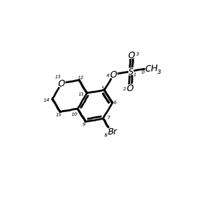 CS(=O)(=O)Oc1cc(Br)cc2c1COCC2